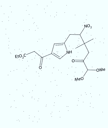 CCOC(=O)CC(=O)c1c[nH]c(CC([N+](=O)[O-])C(C)(C)CC(=O)C(OC)OC)c1